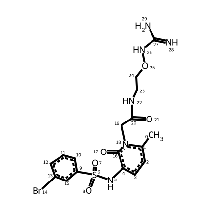 Cc1ccc(NS(=O)(=O)c2cccc(Br)c2)c(=O)n1CC(=O)NCCONC(=N)N